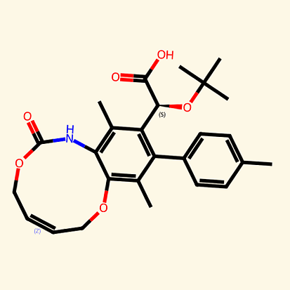 Cc1ccc(-c2c(C)c3c(c(C)c2[C@H](OC(C)(C)C)C(=O)O)NC(=O)OC/C=C\CO3)cc1